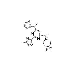 Cc1csc(-c2nc(NC3CCC(F)(F)CC3)cc(C(C)n3cccn3)n2)n1